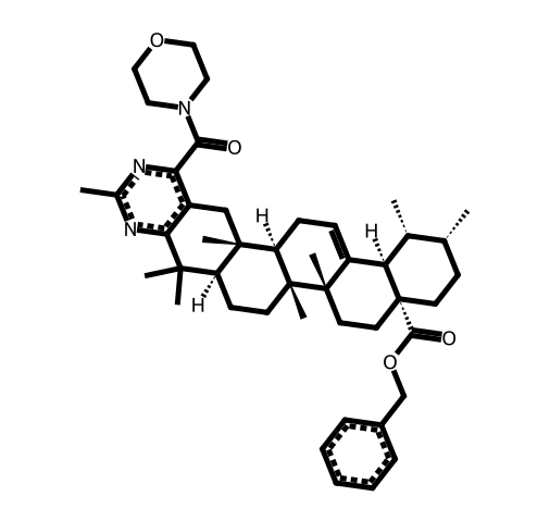 Cc1nc(C(=O)N2CCOCC2)c2c(n1)C(C)(C)[C@@H]1CC[C@]3(C)[C@H](CC=C4[C@H]5[C@H](C)[C@H](C)CC[C@@]5(C(=O)OCc5ccccc5)CC[C@@]43C)[C@@]1(C)C2